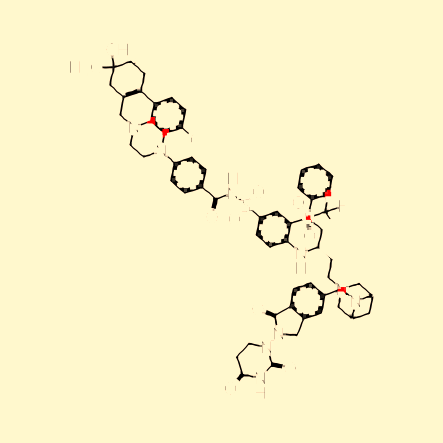 CC1(C)CCC(c2ccc(Cl)cc2)=C(CN2CCN(c3ccc(C(=O)NS(=O)(=O)c4ccc(N[C@H](CCN5CC6CC(C5)N6Cc5ccc6c(c5)CN(N5CCC(=O)NC5=O)C6=O)CSc5ccccc5)c(S(=O)(=O)C(F)(F)F)c4)cc3)CC2)C1